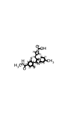 CNC(=O)c1cc(F)c(-c2nc3cc(C)ccn3c2CC2CN(C(=O)O)C2)c(F)c1